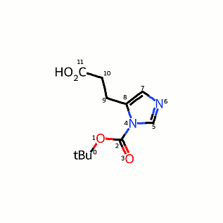 CC(C)(C)OC(=O)n1cncc1CCC(=O)O